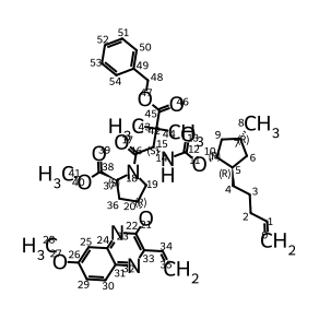 C=CCCC[C@@H]1C[C@@H](C)C[C@H]1OC(=O)N[C@H](C(=O)N1C[C@H](Oc2nc3cc(OC)ccc3nc2C=C)C[C@H]1C(=O)OC)C(C)(C)C(=O)OCc1ccccc1